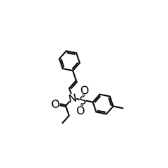 CCC(=O)N(C=Cc1ccccc1)S(=O)(=O)c1ccc(C)cc1